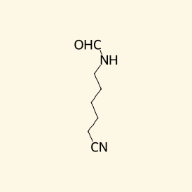 N#CCCCCCNC=O